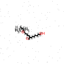 CC(C)(C)[Si](C)(C)OCCCCC/C(C=O)=C\CCCCCCO